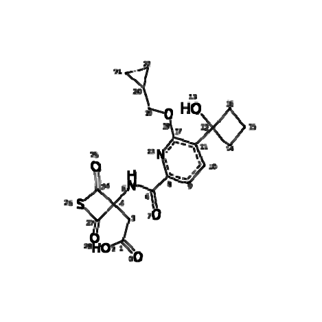 O=C(O)CC1(NC(=O)c2ccc(C3(O)CCC3)c(OCC3CC3)n2)C(=O)SC1=O